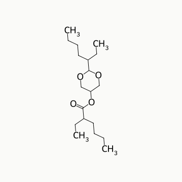 CCCCC(CC)C(=O)OC1COC(C(CC)CCCC)OC1